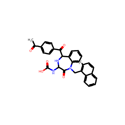 CC(=O)c1ccc(C(=O)C2NC(NC(=O)O)C(=O)N(Cc3c(C)ccc4ccccc34)c3ccccc32)cc1